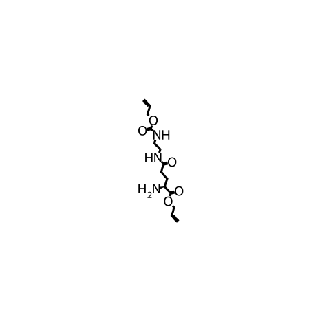 C=CCOC(=O)NCCNC(=O)CC[C@H](N)C(=O)OCC=C